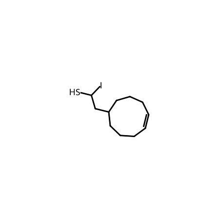 SC(I)CC1CCC/C=C\CCC1